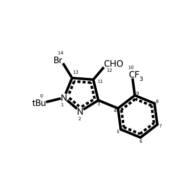 CC(C)(C)n1nc(-c2ccccc2C(F)(F)F)c(C=O)c1Br